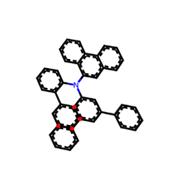 c1ccc(-c2cc(-c3ccccc3)cc(N(c3ccccc3-c3ccccc3)c3cc4ccccc4c4ccccc34)c2)cc1